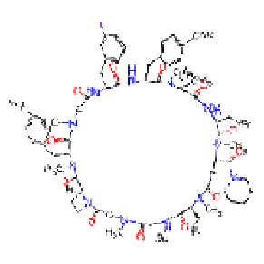 CC[C@H](C)[C@@H]1NC(=O)[C@H](CC(C)C)N(C)C(=O)C[C@@H](C(=O)N2CCCCC2)N(C)C(=O)[C@H](CC(C)C)NC(=O)C(C)(C)N(C)C(=O)[C@H](Cc2ccc(OC)cc2)NC(=O)[C@H](Cc2cccc(I)c2)NC(=O)CN(C)C(=O)[C@H](Cc2ccc(C)cc2)N(C)C(=O)[C@@H]2CCN2C(=O)CN(C)C1=O